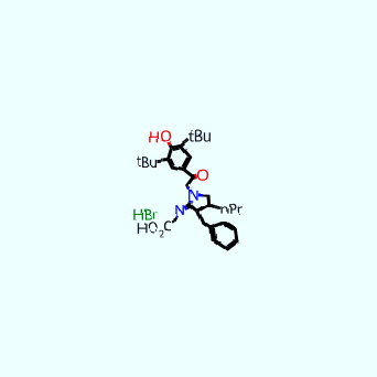 Br.CCCC1CN(CC(=O)c2cc(C(C)(C)C)c(O)c(C(C)(C)C)c2)C(=NCC(=O)O)C1Cc1ccccc1